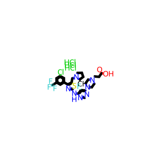 C[C@@H]1CCCN1Cc1sc(Nc2ncnc(N3CCN(CCC(=O)O)CC3)c2F)nc1-c1cc(Cl)cc(C(F)(F)F)c1.Cl.Cl.Cl